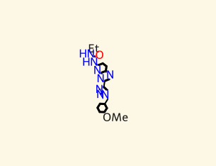 CCNC(=O)Nc1ccc2ncc(-c3cn(Cc4cccc(OC)c4)nn3)nc2n1